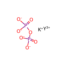 O=P([O-])([O-])OP(=O)([O-])[O-].[K+].[Y+3]